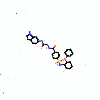 O=C(CNC(=O)c1ccc(S(=O)(=O)Nc2ccccc2Oc2ccccc2)cc1)Nc1ccc2cc[nH]c2c1